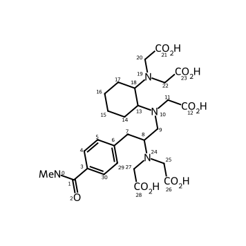 CNC(=O)c1ccc(CC(CN(CC(=O)O)C2CCCCC2N(CC(=O)O)CC(=O)O)N(CC(=O)O)CC(=O)O)cc1